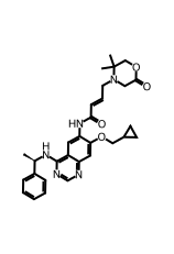 C[C@@H](Nc1ncnc2cc(OCC3CC3)c(NC(=O)/C=C/CN3CC(=O)OCC3(C)C)cc12)c1ccccc1